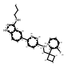 CCCNc1n[nH]c2ccc(-c3ccc(NCC4(c5ncccc5F)CCC4)nn3)cc12